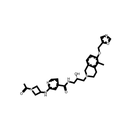 CC(=O)N1CC(Nc2cc(C(=O)NC[C@H](O)CN3CCc4c(ccc(OCc5cnco5)c4C)C3)ccn2)C1